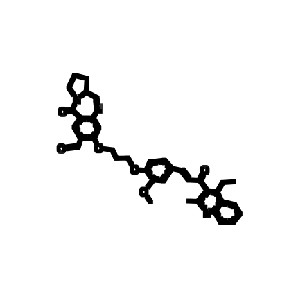 CCc1c(C(=O)/C=C/c2ccc(OCCCOc3cc4c(cc3C=O)C(=O)N3CCCC3C=N4)c(OC)c2)c(C)nc2ccccc12